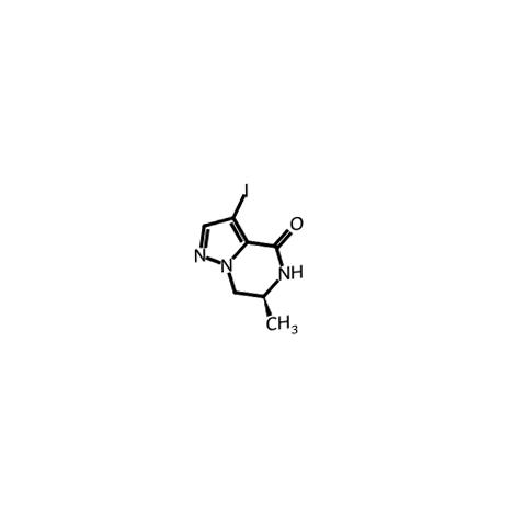 C[C@H]1Cn2ncc(I)c2C(=O)N1